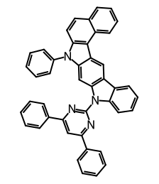 c1ccc(-c2cc(-c3ccccc3)nc(-n3c4ccccc4c4cc5c6c7ccccc7ccc6n(-c6ccccc6)c5cc43)n2)cc1